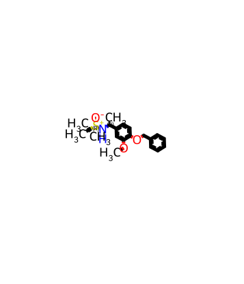 COc1cc([C@@H](C)N[S@@+]([O-])C(C)(C)C)ccc1OCc1ccccc1